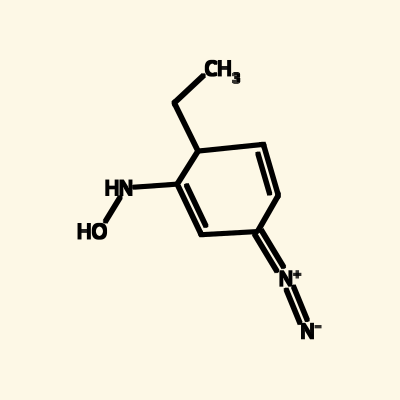 CCC1C=CC(=[N+]=[N-])C=C1NO